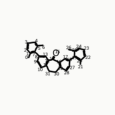 Cc1cccc(C)c1-c1ccc2c(c1)C(=O)c1cc(-c3c(C)cccc3C)ccc1CC2